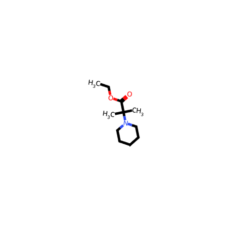 CCOC(=O)C(C)(C)N1CC[CH]CC1